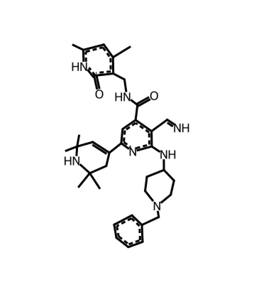 Cc1cc(C)c(CNC(=O)c2cc(C3=CC(C)(C)NC(C)(C)C3)nc(NC3CCN(Cc4ccccc4)CC3)c2C=N)c(=O)[nH]1